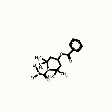 CCN(CC)C(=O)N1C(C)(C)CC(OC(=O)c2ccccc2)CC1(C)C